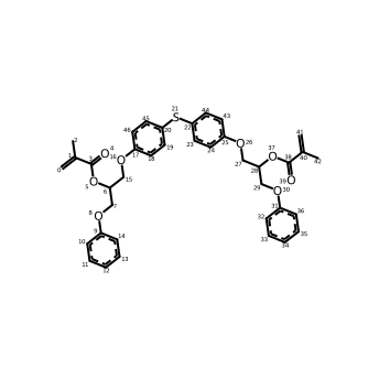 C=C(C)C(=O)OC(COc1ccccc1)COc1ccc(Sc2ccc(OCC(COc3ccccc3)OC(=O)C(=C)C)cc2)cc1